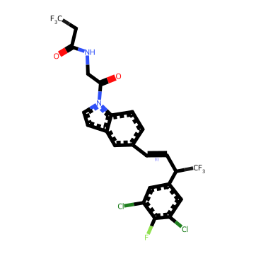 O=C(CC(F)(F)F)NCC(=O)n1ccc2cc(/C=C/C(c3cc(Cl)c(F)c(Cl)c3)C(F)(F)F)ccc21